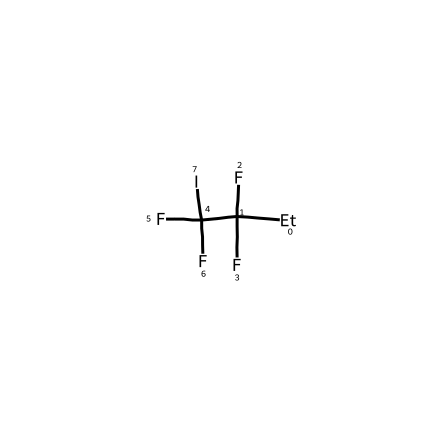 CCC(F)(F)C(F)(F)I